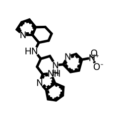 O=[N+]([O-])c1ccc(NCC(Cc2nc3ccccc3[nH]2)NC2CCCc3cccnc32)nc1